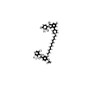 Cc1cncc(Cl)c1NC(=O)c1ccc(OC(F)F)c(OCCCCCCCCCCCCN2CCC(c3cc(F)cc4c3CN(C3CCC(=O)NC3=O)C4=O)CC2)c1